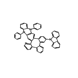 c1ccc(-n2c3ccccc3n(-c3ccccc3)c3cc4c(cc32)c2ccc(-n3c5ccccc5c5ccccc53)cc2c2ccccc2c2cccnc24)cc1